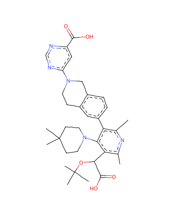 Cc1nc(C)c(C(OC(C)(C)C)C(=O)O)c(N2CCC(C)(C)CC2)c1-c1ccc2c(c1)CCN(c1cc(C(=O)O)ncn1)C2